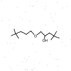 CC(C)(C)CCCOCC(O)CC(C)(C)C